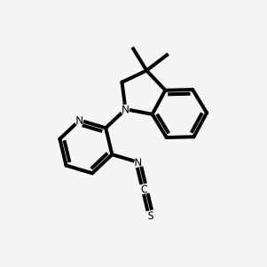 CC1(C)CN(c2ncccc2N=C=S)c2ccccc21